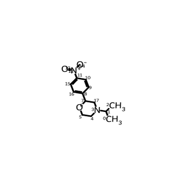 CC(C)N1CCOC(c2ccc([N+](=O)[O-])cc2)C1